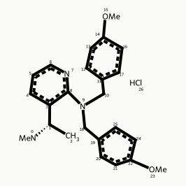 CN[C@@H](C)c1cccnc1N(Cc1ccc(OC)cc1)Cc1ccc(OC)cc1.Cl